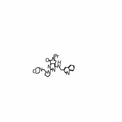 CC(C)N1Cc2c(NCc3cnc4ccccc4c3)nc(N3CCCC3CN3CCOCC3)nc2C1=O